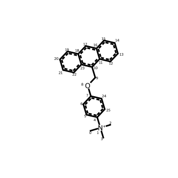 C[N+](C)(C)c1ccc(OCc2c3ccccc3cc3ccccc23)cc1